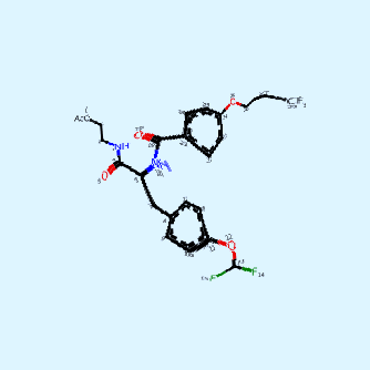 CC(=O)OCCNC(=O)C(Cc1ccc(OC(F)F)cc1)NC(=O)c1ccc(OCCC(F)(F)F)cc1